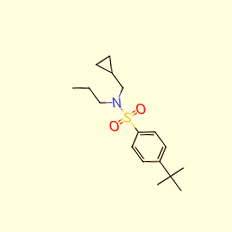 CCCN(CC1CC1)S(=O)(=O)c1ccc(C(C)(C)C)cc1